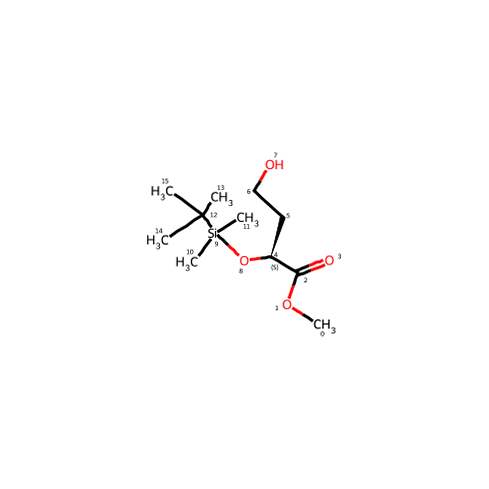 COC(=O)[C@H](CCO)O[Si](C)(C)C(C)(C)C